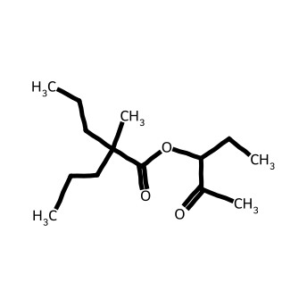 CCCC(C)(CCC)C(=O)OC(CC)C(C)=O